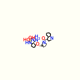 NC1=NS(O)(O)Nc2cccc(OC[C@H]3CCCN(C(=O)c4ccnc5ccccc45)C3)c21